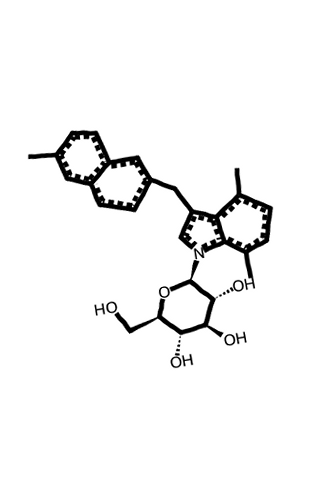 Cc1ccc2cc(Cc3cn([C@@H]4O[C@H](CO)[C@@H](O)[C@H](O)[C@H]4O)c4c(C)ccc(C)c34)ccc2c1